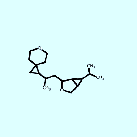 CC(C)C1C2COC(CC(C)C3CC34CCOCC4)C21